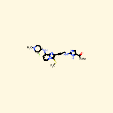 CNC(=O)c1cnc(NCC#Cc2nc3c(N[C@@H]4CCN(C)C[C@@H]4F)cccn3c2SC(F)(F)F)[nH]1